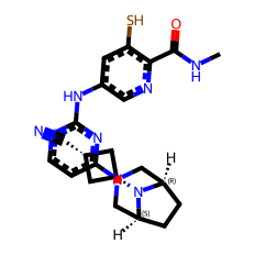 CNC(=O)c1ncc(Nc2nccc(N3C[C@H]4CC[C@@H](C3)N4[C@H]3C[C@@H](C#N)C3)n2)cc1S